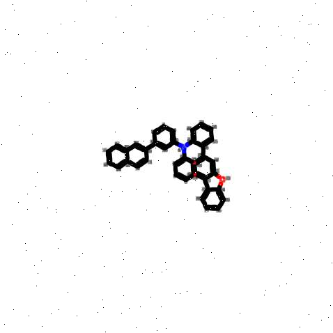 c1ccc(N(c2cccc(-c3ccc4ccccc4c3)c2)c2ccccc2-c2ccc3c(c2)oc2ccccc23)cc1